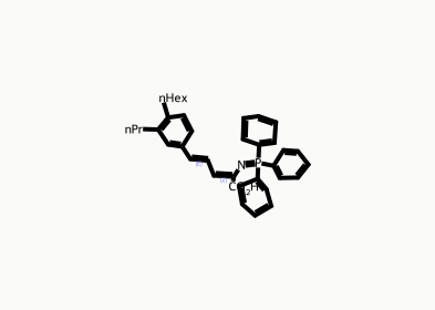 CCCCCCc1ccc(/C=C/C=C(\N=P(c2ccccc2)(c2ccccc2)c2ccccc2)C(=O)O)cc1CCC